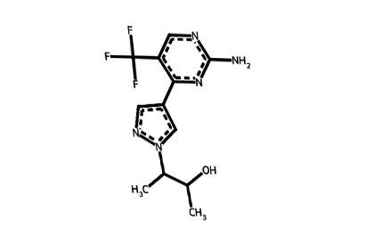 CC(O)C(C)n1cc(-c2nc(N)ncc2C(F)(F)F)cn1